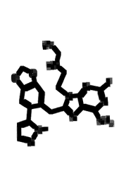 CC(C)CNCCn1c(Cc2cc3c(cc2-c2ccnn2C)OCO3)nc2c(N)nc(F)nc21